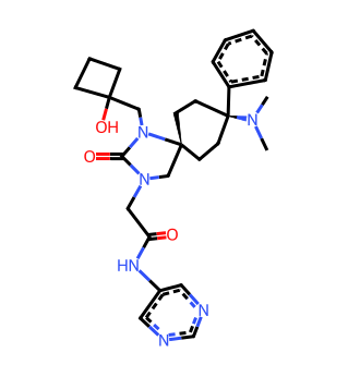 CN(C)[C@]1(c2ccccc2)CC[C@@]2(CC1)CN(CC(=O)Nc1cncnc1)C(=O)N2CC1(O)CCC1